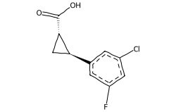 O=C(O)[C@H]1C[C@@H]1c1cc(F)cc(Cl)c1